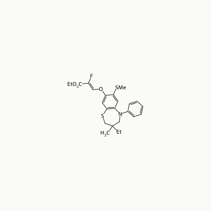 CCOC(=O)/C(F)=C/Oc1cc2c(cc1SC)N(c1ccccc1)CC(C)(CC)CS2